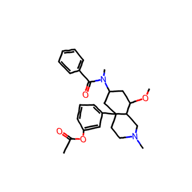 COC1CC(N(C)C(=O)c2ccccc2)CC2(c3cccc(OC(C)=O)c3)CCN(C)CC12